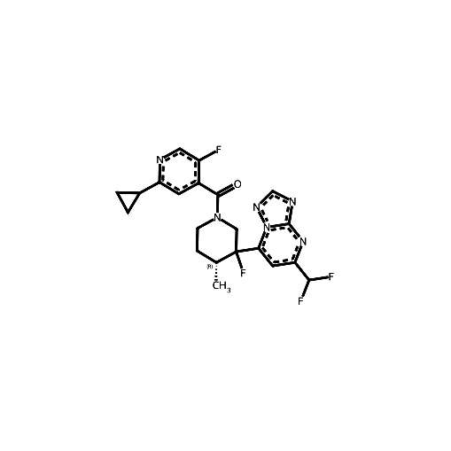 C[C@@H]1CCN(C(=O)c2cc(C3CC3)ncc2F)CC1(F)c1cc(C(F)F)nc2ncnn12